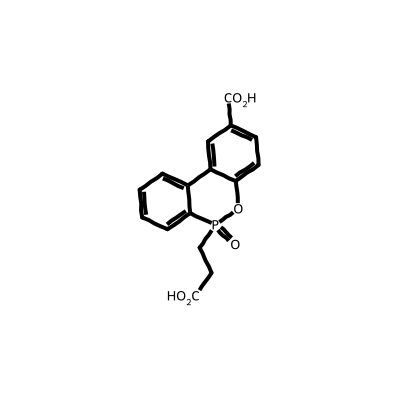 O=C(O)CCP1(=O)Oc2ccc(C(=O)O)cc2-c2ccccc21